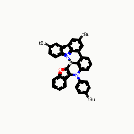 CC(C)(C)c1ccc(N2c3cccc4c3B(c3oc5ccccc5c32)n2c3ccc(C(C)(C)C)cc3c3cc(C(C)(C)C)cc-4c32)cc1